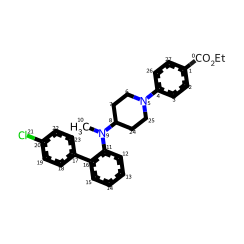 CCOC(=O)c1ccc(N2CCC(N(C)c3ccccc3-c3ccc(Cl)cc3)CC2)cc1